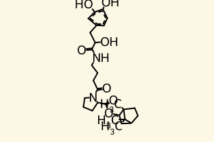 CC1(C)C2CCC1(C)C(OC(=O)C1CCCN1C(=O)CCCNC(=O)C(O)Cc1ccc(O)c(O)c1)C2